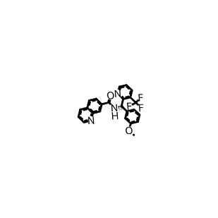 COc1cccc([C@H](NC(=O)c2ccc3cccnc3c2)c2ncccc2C(F)(F)F)c1